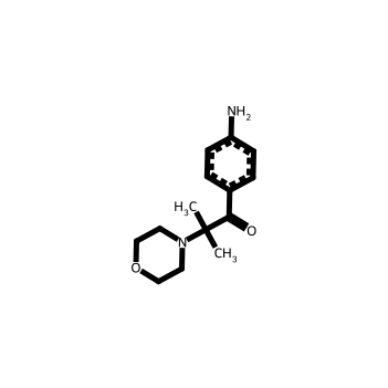 CC(C)(C(=O)c1ccc(N)cc1)N1CCOCC1